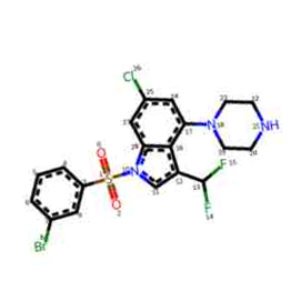 O=S(=O)(c1cccc(Br)c1)n1cc(C(F)F)c2c(N3CCNCC3)cc(Cl)cc21